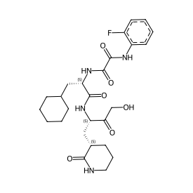 O=C(Nc1ccccc1F)C(=O)N[C@@H](CC1CCCCC1)C(=O)N[C@@H](C[C@@H]1CCCNC1=O)C(=O)CO